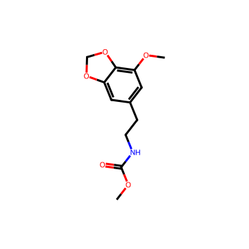 COC(=O)NCCc1cc(OC)c2c(c1)OCO2